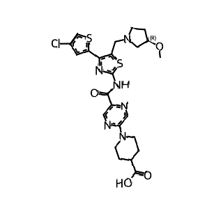 CO[C@@H]1CCN(Cc2sc(NC(=O)c3cnc(N4CCC(C(=O)O)CC4)cn3)nc2-c2cc(Cl)cs2)C1